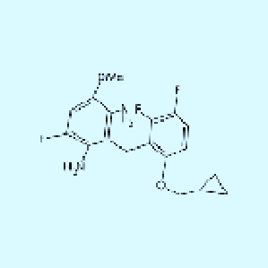 COc1cc(F)c(N)c(Cc2c(OCC3CC3)ccc(F)c2F)c1N